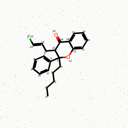 CCCCCC1(c2ccccc2)Oc2ccccc2C(=O)C1CC=CF